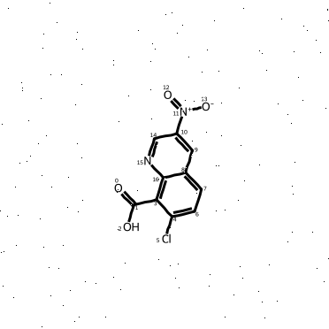 O=C(O)c1c(Cl)ccc2cc([N+](=O)[O-])cnc12